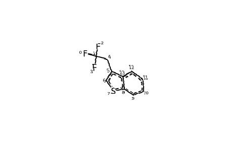 FC(F)(F)Cc1csc2ccccc12